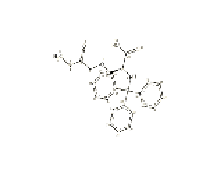 CNC(=O)COC[C@H](NC(c1ccccc1)(c1ccccc1)c1ccccc1)C(=O)O